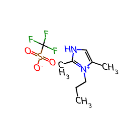 CCC[n+]1c(C)c[nH]c1C.O=S(=O)([O-])C(F)(F)F